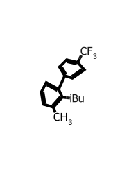 CCC(C)c1c(C)cccc1-c1ccc(C(F)(F)F)cc1